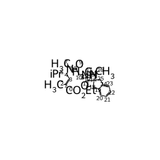 CCOC(=O)/C(C)=C/[C@H](C(C)C)N(C)C(=O)CNC(=O)C1(N(C)C)Cc2ccccc2C1